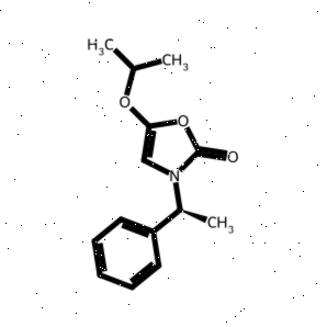 CC(C)Oc1cn([C@@H](C)c2ccccc2)c(=O)o1